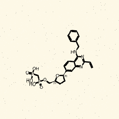 C=Cc1nc(NCc2ccccc2)c2ccc([C@H]3CC[C@@H](COP(=O)(O)CP(=O)(O)O)O3)cc2n1